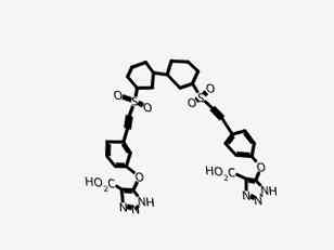 O=C(O)c1nn[nH]c1Oc1ccc(C#CS(=O)(=O)C2CCCC(C3CCCC(S(=O)(=O)C#Cc4cccc(Oc5[nH]nnc5C(=O)O)c4)C3)C2)cc1